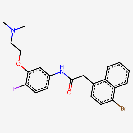 CN(C)CCOc1cc(NC(=O)Cc2ccc(Br)c3ccccc23)ccc1I